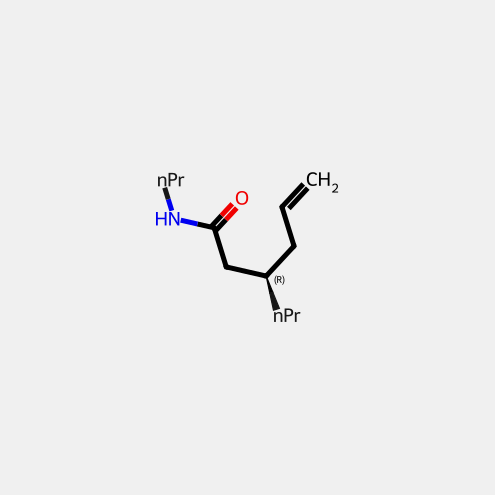 C=CC[C@@H](CCC)CC(=O)NCCC